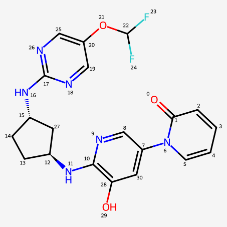 O=c1ccccn1-c1cnc(N[C@H]2CC[C@H](Nc3ncc(OC(F)F)cn3)C2)c(O)c1